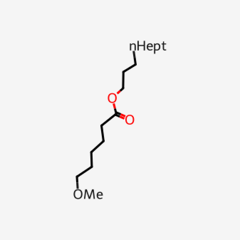 CCCCCCCCCCOC(=O)CCCCCOC